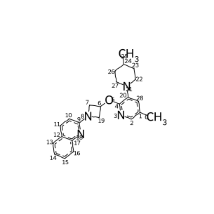 Cc1cnc(OC2CN(c3ccc4ccccc4n3)C2)c(N2CCC(C)CC2)c1